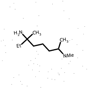 CCC(C)(N)CCCC(C)NC